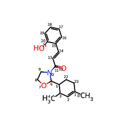 CC1=CC(C)C(C2OCCN2C(=O)C=Cc2ccccc2O)CC1